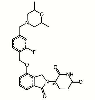 CC1CN(Cc2ccc(COc3cccc4c3CN([C@@H]3CCC(=O)NC3=O)C4=O)c(F)c2)CC(C)O1